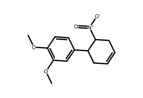 COc1ccc(C2CC=CCC2[N+](=O)[O-])cc1OC